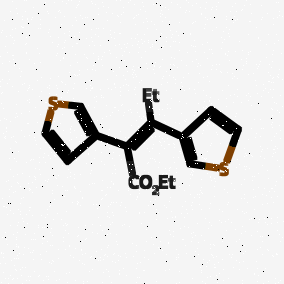 CCOC(=O)/C(=C(/CC)c1ccsc1)c1ccsc1